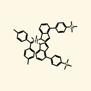 Cc1ccc([C](c2ccc(C)cc2)=[Hf]([CH3])([CH3])([CH]2C=Cc3c(-c4ccc([Si](C)(C)C)cc4)cccc32)[CH]2C=Cc3c(-c4ccc([Si](C)(C)C)cc4)cccc32)cc1